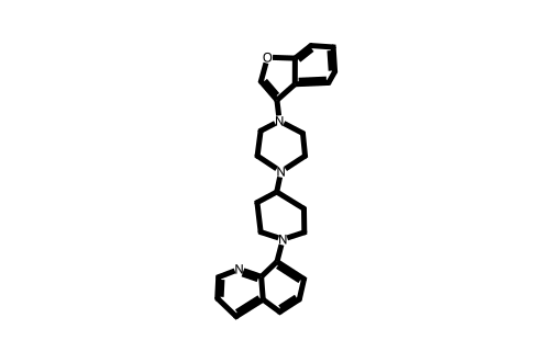 c1cnc2c(N3CCC(N4CCN(c5coc6ccccc56)CC4)CC3)cccc2c1